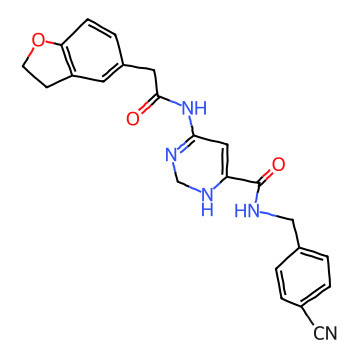 N#Cc1ccc(CNC(=O)C2=CC(NC(=O)Cc3ccc4c(c3)CCO4)=NCN2)cc1